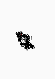 CCn1c(-c2cccnc2[C@H](C)OC)c2c3cc(ccc31)-c1csc(n1)C[C@H](NC(=O)[C@H](C(C)C)N(C)C(=O)N1CCC3(COC3)C1)C(=O)N1CCC[C@@](O)(N1)C(=O)OCC(C)(C)C2